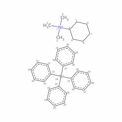 C[N+](C)(C)C1CCCCC1.c1ccc([B-](c2ccccc2)(c2ccccc2)c2ccccc2)cc1